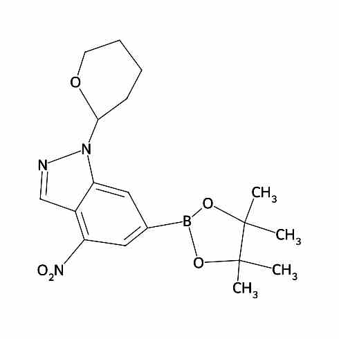 CC1(C)OB(c2cc([N+](=O)[O-])c3cnn(C4CCCCO4)c3c2)OC1(C)C